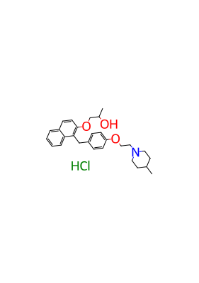 CC(O)COc1ccc2ccccc2c1Cc1ccc(OCCN2CCC(C)CC2)cc1.Cl